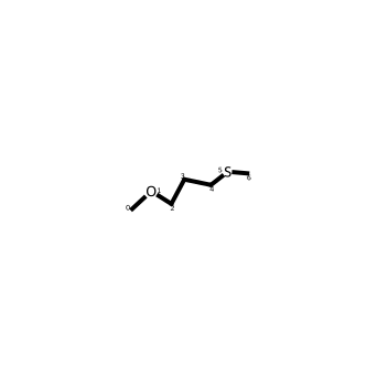 COCCCSC